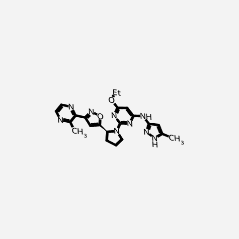 CCOc1cc(Nc2cc(C)[nH]n2)nc(N2CCC[C@H]2c2cc(-c3nccnc3C)no2)n1